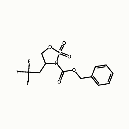 O=C(OCc1ccccc1)N1C(CC(F)(F)F)COS1(=O)=O